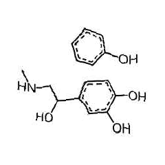 CNCC(O)c1ccc(O)c(O)c1.Oc1ccccc1